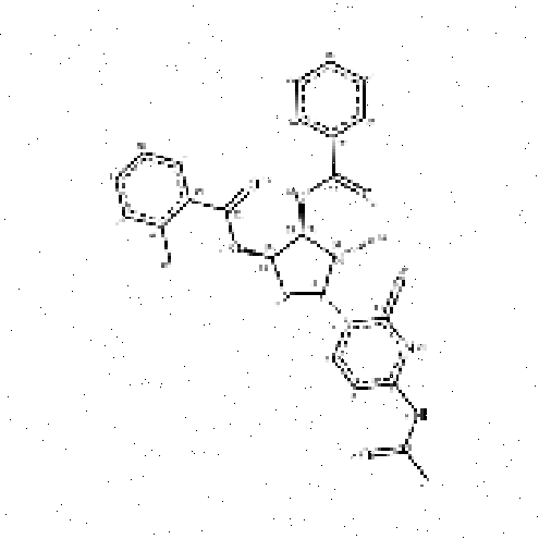 CC(=O)Nc1ccn([C@@H]2S[C@@H](OC(=O)c3ccccc3C)[C@@H](OC(=O)c3ccccc3)[C@@H]2F)c(=O)n1